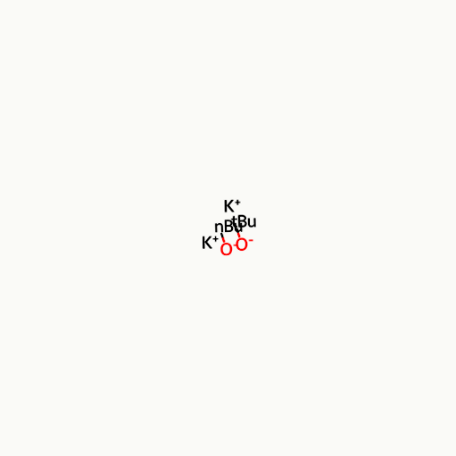 CC(C)(C)[O-].CCCC[O-].[K+].[K+]